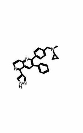 CN(Cc1ccc(-c2nc3ccnc(-c4cn[nH]c4)c3cc2-c2ccccc2)cc1)C1CC1